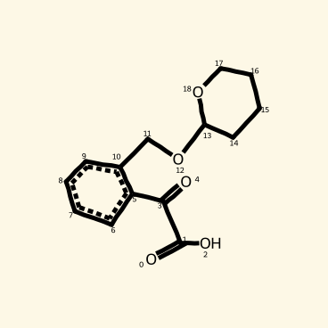 O=C(O)C(=O)c1ccccc1COC1CCCCO1